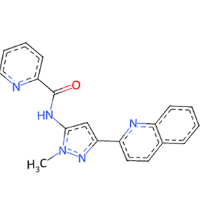 Cn1nc(-c2ccc3ccccc3n2)cc1NC(=O)c1ccccn1